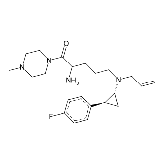 C=CCN(CCCC(N)C(=O)N1CCN(C)CC1)[C@@H]1C[C@H]1c1ccc(F)cc1